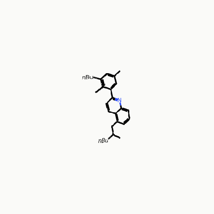 CCCCc1cc(C)cc(-c2ccc3c(CC(C)CCCC)cccc3n2)c1C